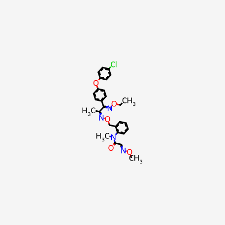 CCON=C(C(C)=NOCc1ccccc1N(C)C(=O)C=NOC)c1ccc(Oc2ccc(Cl)cc2)cc1